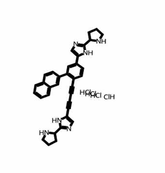 C(C#Cc1ccc(-c2cnc(C3CCCN3)[nH]2)cc1-c1ccc2ccccc2c1)#Cc1cnc(C2CCCN2)[nH]1.Cl.Cl.Cl.Cl